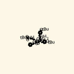 CC(C)(C)OC(=O)NCCCC[C@H](NC(=O)[C@H](Cc1ccc(OC(C)(C)C)cc1)NC(=O)[C@@H](N)Cc1ccc(OC(C)(C)C)cc1)C(=O)OCc1ccccc1